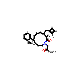 CCC(C)[C@]1(c2ccccc2)CCCC(CC2CCC2)C(C)C(=O)N(CC(=O)NC)CCC1